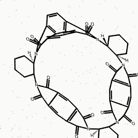 O=C1c2ccc3c4c5ccc(c24)C(=O)N1[C@@H]1CCCCC1n1c(=O)c2cc4c(=O)n(c(=O)c4cc2c1=O)[C@@H]1CCCCC1n1c(=O)c2cc4c(=O)n(c(=O)c4cc2c1=O)[C@@H]1CCCC[C@H]1N(C3=O)C5=O